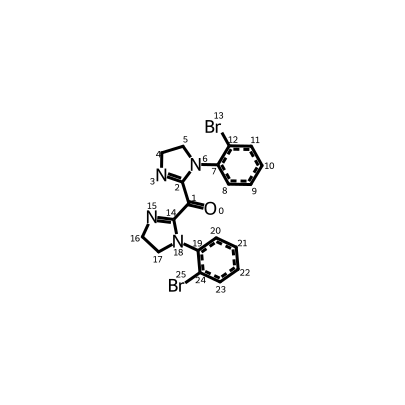 O=C(C1=NCCN1c1ccccc1Br)C1=NCCN1c1ccccc1Br